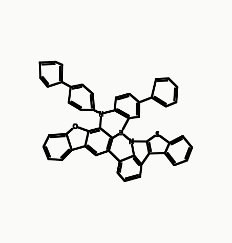 c1ccc(-c2ccc(N3c4ccc(-c5ccccc5)cc4B4c5c(cc6c(oc7ccccc76)c53)-c3cccc5c6c7ccccc7sc6n4c35)cc2)cc1